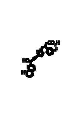 O=C(O)CC(Cn1ccc(C#CC(O)c2ccc3c(n2)NCCC3)n1)c1cccc(F)c1